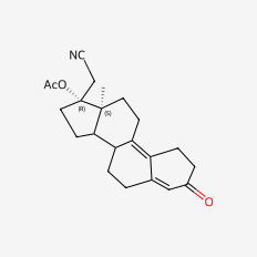 CC(=O)O[C@@]1(CC#N)CCC2C3CCC4=CC(=O)CCC4=C3CC[C@@]21C